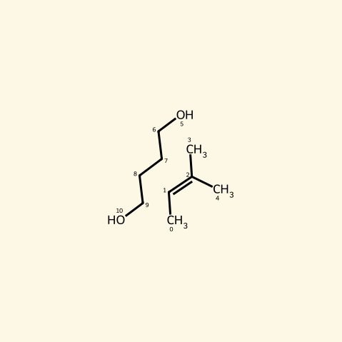 CC=C(C)C.OCCCCO